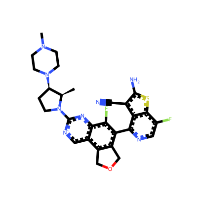 C[C@@H]1[C@H](N2CCN(C)CC2)CCN1c1ncc2c3c(c(-c4ncc(F)c5sc(N)c(C#N)c45)c(F)c2n1)COC3